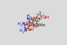 CNC1C(OC2OC(CO)C(C)CC2O)OC2CC(N)C(OC3C(N)CC(N)C(O)C3O)OC2C1O